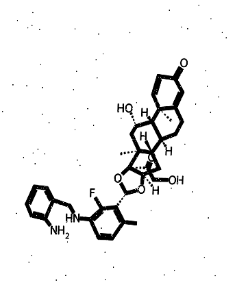 Cc1ccc(NCc2ccccc2N)c(F)c1[C@H]1O[C@@H]2C[C@H]3[C@@H]4CCC5=CC(=O)C=C[C@]5(C)[C@H]4[C@@H](O)C[C@]3(C)[C@]2(C(=O)CO)O1